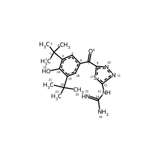 CC(C)(C)c1cc(C(=O)c2nnc(NC(=N)N)s2)cc(C(C)(C)C)c1O